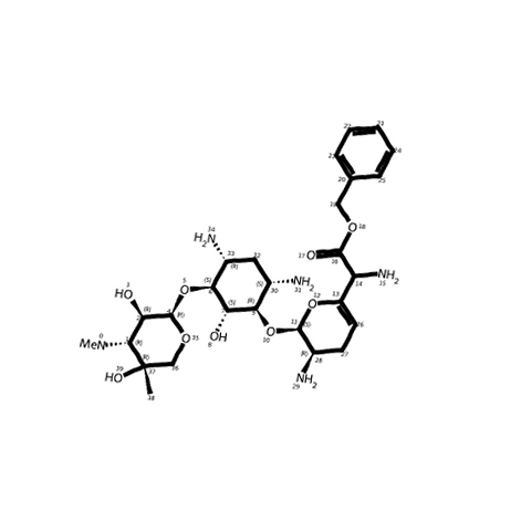 CN[C@@H]1[C@@H](O)[C@@H](O[C@@H]2[C@@H](O)[C@H](O[C@H]3OC(C(N)C(=O)OCc4ccccc4)=CC[C@H]3N)[C@@H](N)C[C@H]2N)OC[C@]1(C)O